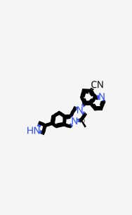 C[C@@H]1CN(c2ccc(C#N)c3ncccc23)CC2=C3CC=C(C4CNC4)C=C3CN21